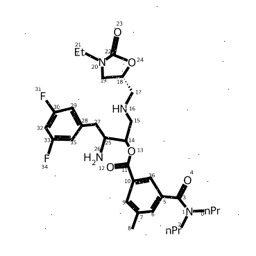 CCCN(CCC)C(=O)c1cc(C)cc(C(=O)OC(CNC[C@@H]2CN(CC)C(=O)O2)C(N)Cc2cc(F)cc(F)c2)c1